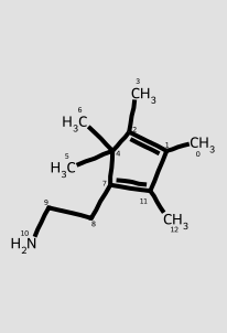 CC1=C(C)C(C)(C)C(CCN)=C1C